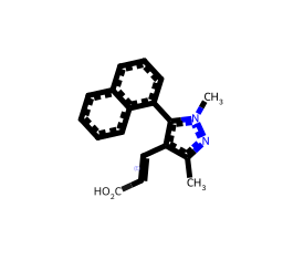 Cc1nn(C)c(-c2cccc3ccccc23)c1/C=C/C(=O)O